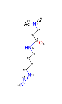 CC(=O)N(CCC(=O)NCCCCN=[N+]=[N-])C(C)=O